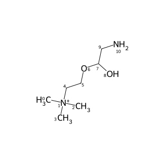 C[N+](C)(C)CCOC(O)CN